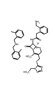 Cc1ccccc1CNCc1ccccc1C.NCc1ccccc1CC(=O)NC1C(=O)N2C(C(=O)O)=C(CSc3nnnn3CC(=O)O)CS[C@H]12